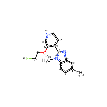 Cc1ccc2c(c1)nc(-c1ccncc1OCCF)n2C